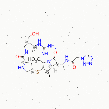 CC(NC(=O)Cn1cnnn1)[C@H]1C(=O)N2C(C(=O)O)=C(S[C@@H]3CN[C@H](C(=O)N4C[C@H](CO)[C@@H](NC(=N)N)C4)C3)[C@H](C)[C@H]12